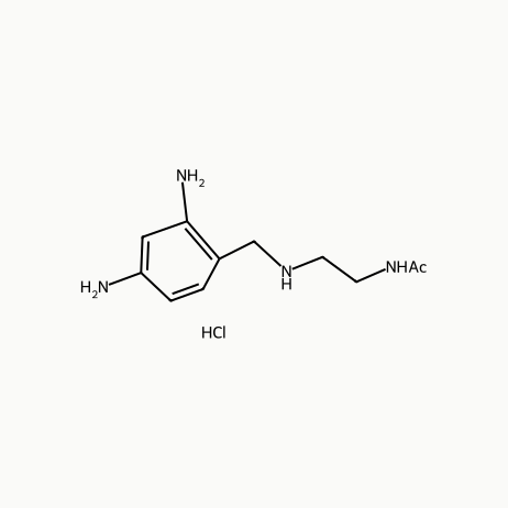 CC(=O)NCCNCc1ccc(N)cc1N.Cl